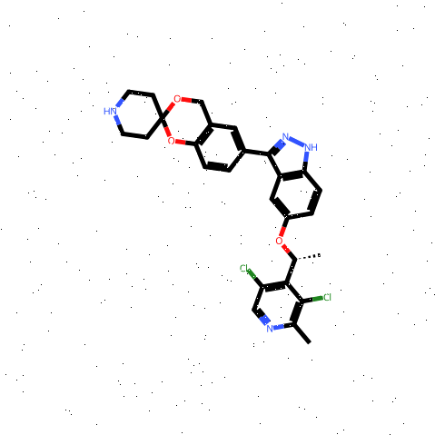 Cc1ncc(Cl)c([C@@H](C)Oc2ccc3[nH]nc(-c4ccc5c(c4)COC4(CCNCC4)O5)c3c2)c1Cl